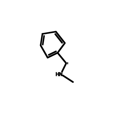 CN[C]c1ccccc1